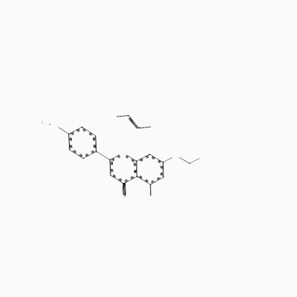 CC=CO.COc1ccc(-c2cc(=O)c3c(O)cc(OCC(=O)O)cc3o2)cc1